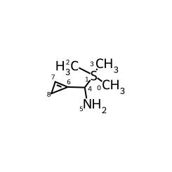 CS(C)(C)C(N)C1=CC1